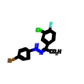 O=C(O)C(=NNc1ccc(Br)cc1)c1ccc(F)c(Cl)c1